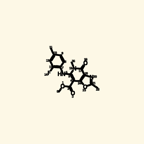 COC(=O)c1c(Nc2ccc(C)cc2F)n(C)c(=O)c2nc(C)oc12